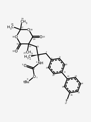 CC(C)(C)OC(=O)N[C@@](C)(Cc1ccc(-c2cccc(F)c2)cc1)CC1(C)C(=O)OC(C)(C)OC1=O